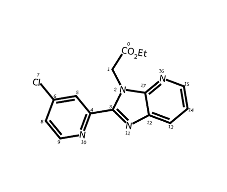 CCOC(=O)Cn1c(-c2cc(Cl)ccn2)nc2cccnc21